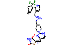 O=C1NC(=O)/C(=C\c2ccnc(N3CCC(CNCc4cccnc4-c4ccccc4C(F)(F)F)CC3)n2)S1